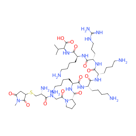 CC(C)[C@H](NC(=O)[C@H](CCCCN)NC(=O)[C@H](CCCNC(=N)N)NC(=O)[C@H](CCCCN)NC(=O)[C@H](CCCCN)NC(=O)[C@H](CCCCN)NC(=O)[C@@H]1CCCN1C(=O)CNC(=O)[C@@H](N)CSC1CC(=O)N(C)C1=O)C(=O)O